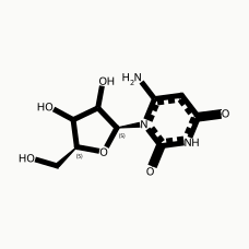 Nc1cc(=O)[nH]c(=O)n1[C@H]1O[C@@H](CO)C(O)C1O